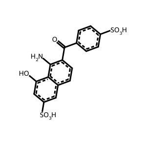 Nc1c(C(=O)c2ccc(S(=O)(=O)O)cc2)ccc2cc(S(=O)(=O)O)cc(O)c12